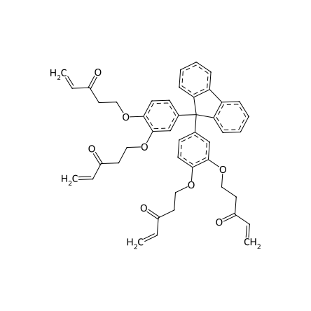 C=CC(=O)CCOc1ccc(C2(c3ccc(OCCC(=O)C=C)c(OCCC(=O)C=C)c3)c3ccccc3-c3ccccc32)cc1OCCC(=O)C=C